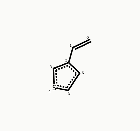 C=Cc1[c]scc1